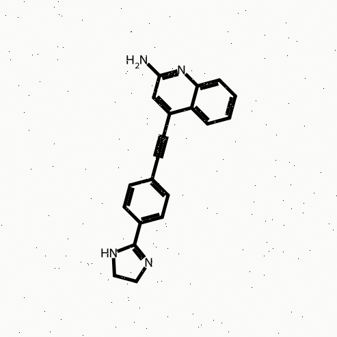 Nc1cc(C#Cc2ccc(C3=NCCN3)cc2)c2ccccc2n1